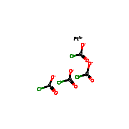 O=[Si]([O-])Cl.O=[Si]([O-])Cl.O=[Si]([O-])Cl.O=[Si]([O-])Cl.[Pt+4]